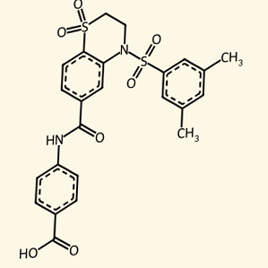 Cc1cc(C)cc(S(=O)(=O)N2CCS(=O)(=O)c3ccc(C(=O)Nc4ccc(C(=O)O)cc4)cc32)c1